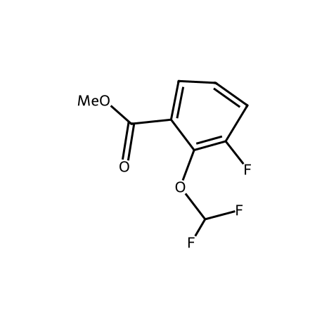 COC(=O)c1cccc(F)c1OC(F)F